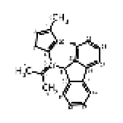 CC1=CC[C]([Zr](=[C](C)C)[CH]2c3ccccc3-c3ccccc32)=C1